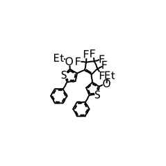 CCOc1sc(-c2ccccc2)cc1C1=C(c2cc(-c3ccccc3)sc2OCC)C(F)(F)C(F)(F)C1(F)F